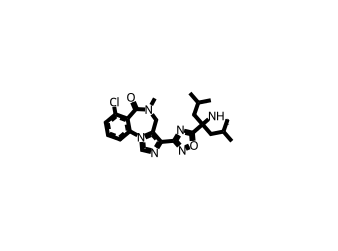 CC(C)CC(N)(CC(C)C)c1nc(-c2ncn3c2CN(C)C(=O)c2c(Cl)cccc2-3)no1